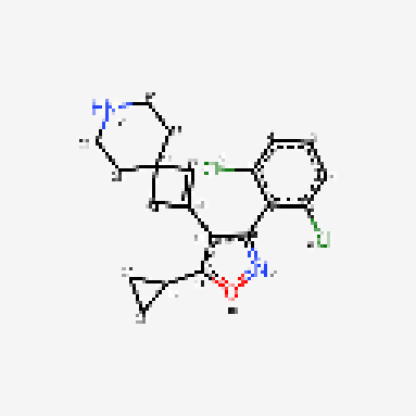 Clc1cccc(Cl)c1-c1noc(C2CC2)c1C1=CC2(CCNCC2)C1